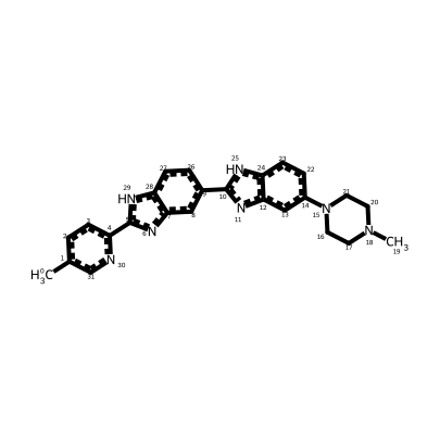 Cc1ccc(-c2nc3cc(-c4nc5cc(N6CCN(C)CC6)ccc5[nH]4)ccc3[nH]2)nc1